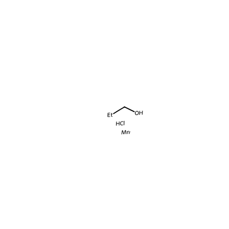 CCCO.Cl.[Mn]